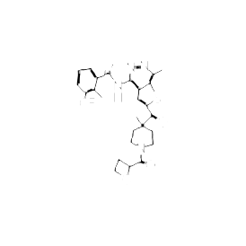 Cc1c([C@@H](C)Nc2nnc(C)c3sc(C(=O)C4(C)CCN(C(=O)C5CCO5)CC4)cc23)cccc1C(F)(F)F